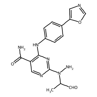 CC(C=O)N(N)c1ncc(C(N)=O)c(Nc2ccc(-c3cnco3)cc2)n1